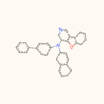 c1ccc(-c2ccc(N(c3ccc4ccccc4c3)c3cncc4c3oc3ccccc34)cc2)cc1